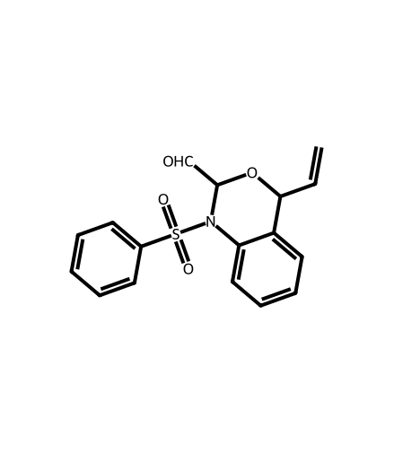 C=CC1OC(C=O)N(S(=O)(=O)c2ccccc2)c2ccccc21